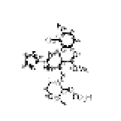 COC(=O)C1=C(CN2CCO[C@H](C)[C@@H]2OC(=O)O)NC(c2nccs2)=N[C@H]1c1cccc(F)c1Cl